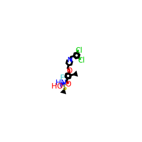 O=C(NN(O)SC1CC1)c1cc(C2CC2)c(OCC2CCN(Cc3cc(Cl)cc(Cl)c3)CC2)cc1F